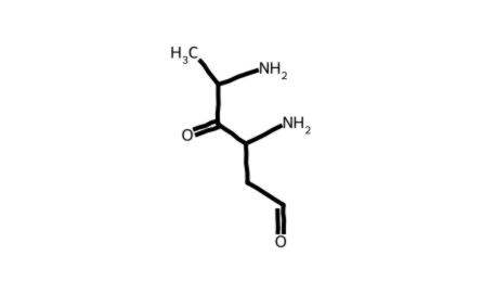 CC(N)C(=O)C(N)CC=O